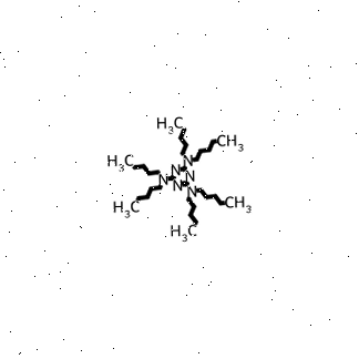 CCCCCN(CCCCC)c1nc(N(CCCCC)CCCCC)nc(N(CCCCC)CCCCC)n1